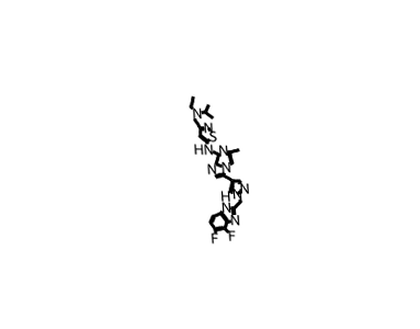 CCN(Cc1cc(Nc2nc(C)cn3c(-c4cnn(Cc5nc6c(F)c(F)ccc6[nH]5)c4)cnc23)sn1)C(C)C